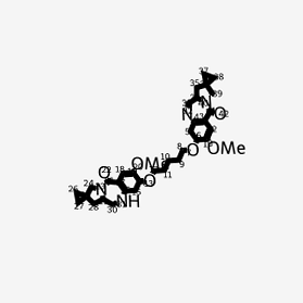 COC1=CC2=C(CC1OCCCCCOC1CC3=C(C=C1OC)C(=O)N1CC4(CC4)CC1CN3)N=CC1CC3(CC3)CN1C2=O